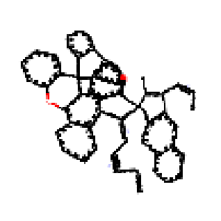 C=C/C=C\C=C(/c1cc2c(c3ccccc13)Oc1ccccc1C21c2ccccc2-c2ccccc21)C1(c2ccccc2)C(C)=C(/C=C\C)c2cc3ccccc3cc21